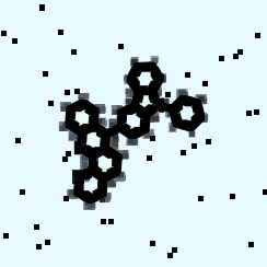 c1ccc(-n2c3ccccc3c3cc(-c4c5ccccc5nc5c4ccc4cccnc45)ccc32)cc1